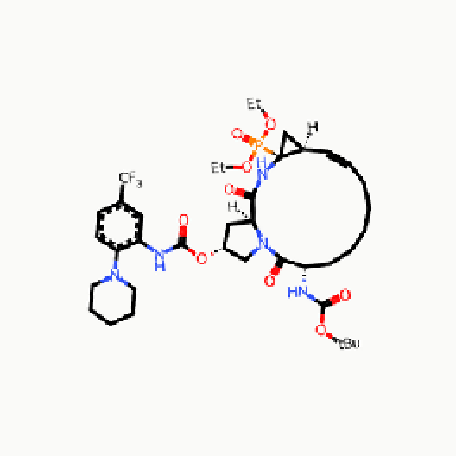 CCOP(=O)(OCC)[C@@]12C[C@H]1/C=C\CCCCC[C@H](NC(=O)OC(C)(C)C)C(=O)N1C[C@H](OC(=O)Nc3cc(C(F)(F)F)ccc3N3CCCCC3)C[C@H]1C(=O)N2